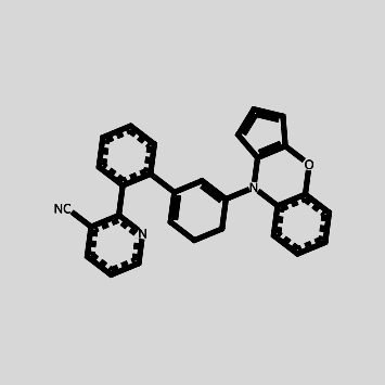 N#Cc1cccnc1-c1ccccc1C1=CCCC(N2C3=C(C=C=C3)Oc3ccccc32)=C1